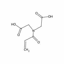 C=CC(=O)N(CC(=O)O)CC(=O)O